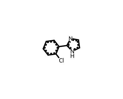 Clc1ccccc1-c1ncc[nH]1